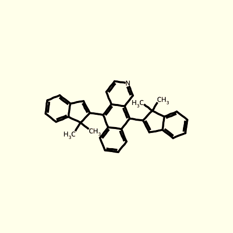 CC1(C)C(c2c3ccccc3c(C3=Cc4ccccc4C3(C)C)c3cnccc23)=Cc2ccccc21